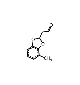 Cc1cccc2c1OC(CC=O)O2